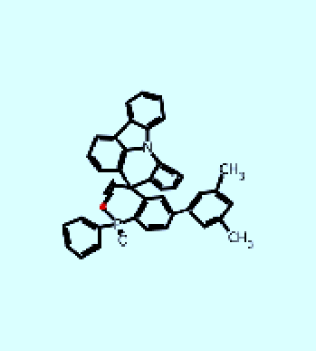 Cc1cc(C)cc(-c2ccc3c(c2)C2(c4ccccc4-n4c5ccccc5c5cccc2c54)c2ccccc2P3(=O)c2ccccc2)c1